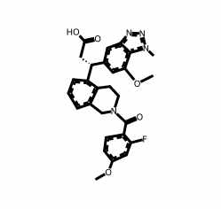 COc1ccc(C(=O)N2CCc3c(cccc3[C@H](CC(=O)O)c3cc(OC)c4c(c3)nnn4C)C2)c(F)c1